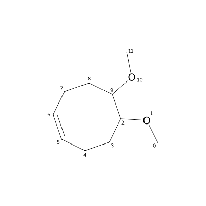 COC1CCC=CCCC1OC